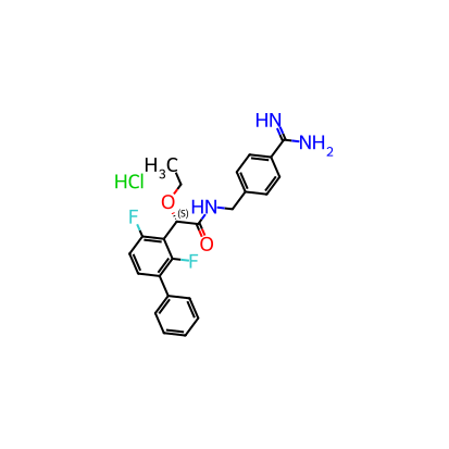 CCO[C@H](C(=O)NCc1ccc(C(=N)N)cc1)c1c(F)ccc(-c2ccccc2)c1F.Cl